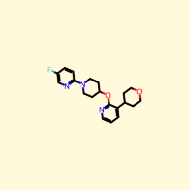 Fc1ccc(N2CCC(Oc3ncccc3C3CCOCC3)CC2)nc1